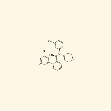 [C-]#[N+]c1cccc([C@@H]([C@H](O)c2cccnc2-c2cc(C)cc(Cl)c2)N2CCOCC2)c1